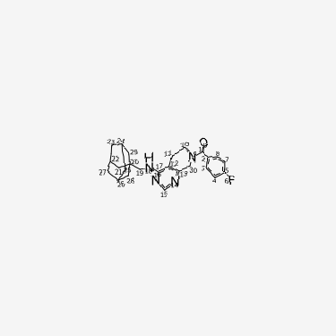 O=C(c1ccc(F)cc1)N1CCc2c(ncnc2NCC23CC4CC(CC(C4)C2)C3)C1